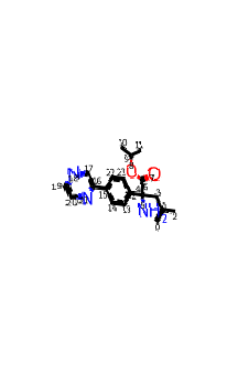 C=C(C)CC(N)(C(=O)OC(C)C)c1ccc(-c2cnccn2)cc1